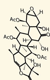 C=C1OC2=C[C@@H](C)[C@H]3[C@@H]([C@H](OC(C)=O)[C@H]4[C@H]5C([C@H](C)[C@H](OC(C)=O)[C@]34C)[C@@]3(C)[C@@H](OC(C)=O)[C@H]4O[C@H]4C[C@]3(O)C(=O)[C@@H]5O)[C@@]2(C)[C@]1(C)O